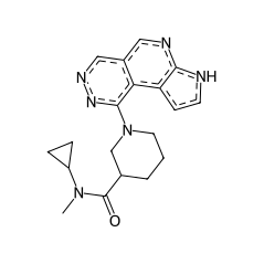 CN(C(=O)C1CCCN(c2nncc3cnc4[nH]ccc4c23)C1)C1CC1